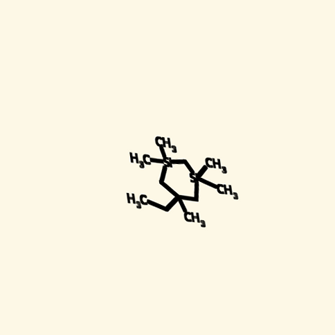 CCC1(C)C[Si](C)(C)C[Si](C)(C)C1